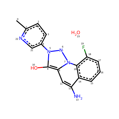 Cc1ccc(N2[N]N3C(=C2O)C=C(N)c2cccc(F)c23)cn1.O